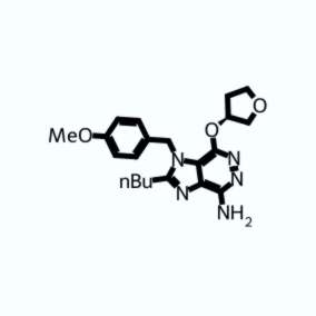 CCCCc1nc2c(N)nnc(O[C@H]3CCOC3)c2n1Cc1ccc(OC)cc1